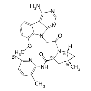 COc1cccc2c3c(N)ncnc3n(CC(=O)N3[C@H](C(=O)Nc4nc(Br)ccc4C)C[C@@]4(C)C[C@@H]34)c12